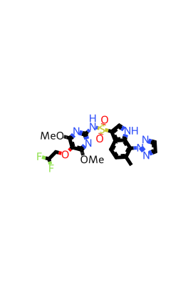 COc1nc(NS(=O)(=O)c2c[nH]c3c(-n4nccn4)c(C)ccc23)nc(OC)c1OCC(F)F